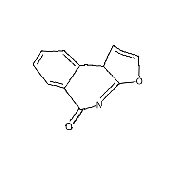 O=C1N=C2OC=CC2c2ccccc21